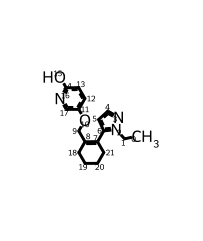 CCn1nccc1C1=C(COc2ccc(O)nc2)CCCC1